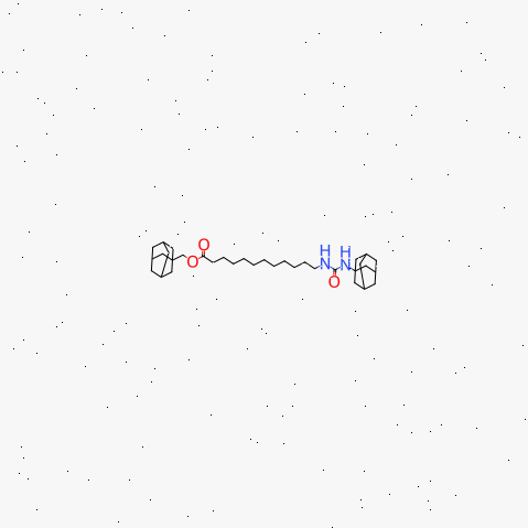 O=C(NCCCCCCCCCCCC(=O)OCC12CC3CC(CC(C3)C1)C2)NC12CC3CC(CC(C3)C1)C2